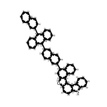 c1ccc2cc(-c3c4ccccc4c(-c4ccc5cc(-c6cc7oc8ccc9sc%10ccccc%10c9c8c7c7ccccc67)ccc5c4)c4ccccc34)ccc2c1